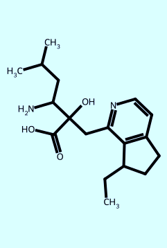 CCC1CCc2ccnc(CC(O)(C(=O)O)C(N)CC(C)C)c21